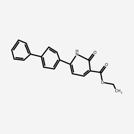 CCOC(=O)c1ccc(-c2ccc(-c3ccccc3)cc2)[nH]c1=O